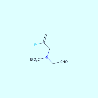 C=C(F)CN(CC=O)C(=O)OCC